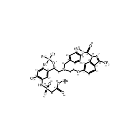 CC[Si](CC)(CC)OC(CN(CCOc1ccc2c(C(F)(F)F)nn(C(=O)OC(C)(C)C)c2c1)Cc1ccccc1)c1ccc(Cl)c(NS(=O)(=O)CC(=O)OC(C)(C)C)c1